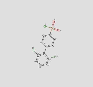 O=S(=O)(Cl)c1ccc(-c2c(F)cccc2F)cc1